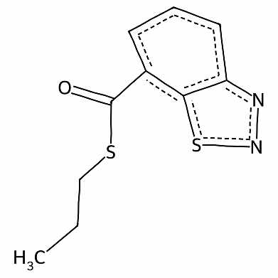 CCCSC(=O)c1cccc2nnsc12